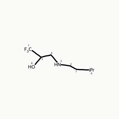 CC(C)CCNCC(O)C(F)(F)F